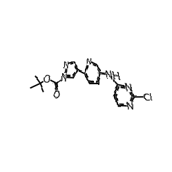 CC(C)(C)OC(=O)n1cc(-c2ccc(Nc3ccnc(Cl)n3)cn2)cn1